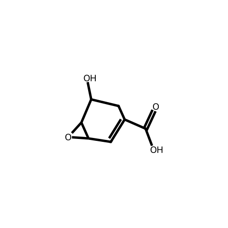 O=C(O)C1=CC2OC2C(O)C1